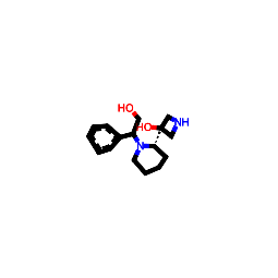 OCC(c1ccccc1)N1CCCC[C@H]1C1(O)CNC1